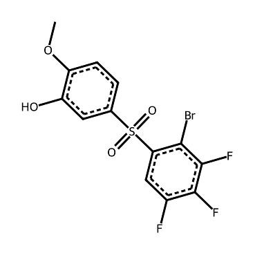 COc1ccc(S(=O)(=O)c2cc(F)c(F)c(F)c2Br)cc1O